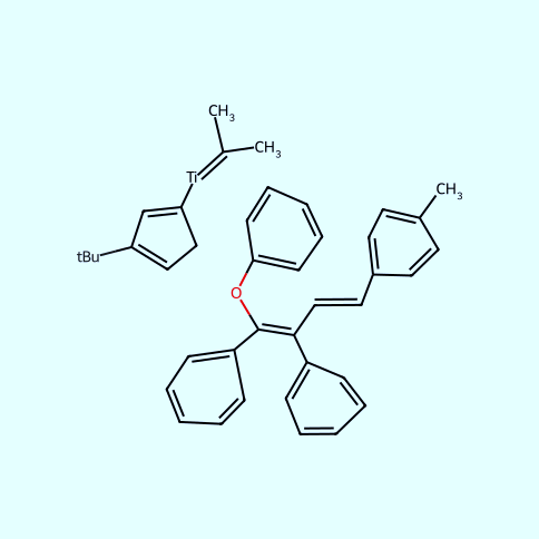 C[C](C)=[Ti][C]1=CC(C(C)(C)C)=CC1.Cc1ccc(C=CC(=C(Oc2ccccc2)c2ccccc2)c2ccccc2)cc1